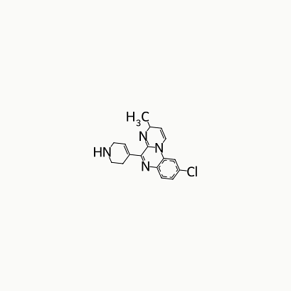 CC1C=CN2C(=N1)C(C1=CCNCC1)=Nc1ccc(Cl)cc12